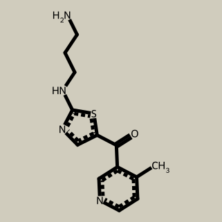 Cc1ccncc1C(=O)c1cnc(NCCCN)s1